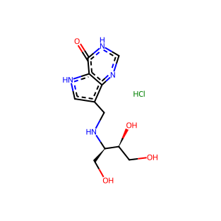 Cl.O=c1[nH]cnc2c(CN[C@H](CO)[C@@H](O)CO)c[nH]c12